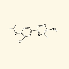 Cc1nc(-c2ccc(OC(C)C)c(Cl)c2)cnc1N